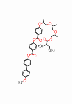 CCOc1ccc(-c2ccc(OC(=O)c3ccc(OC(=O)c4ccc(OC(C)COC(C)COC(C)COC(=O)C(CC(C)(C)C)C(C)(C)C)cc4)cc3)cc2)cc1